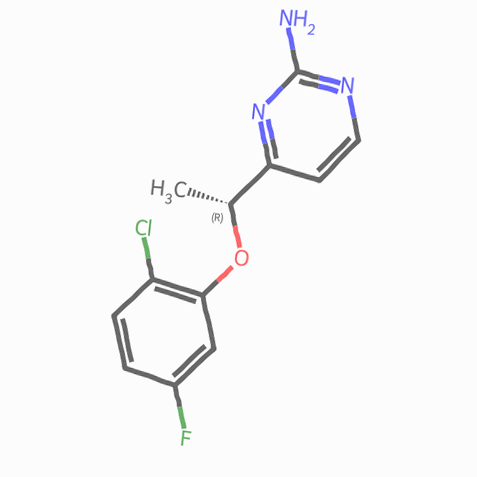 C[C@@H](Oc1cc(F)ccc1Cl)c1ccnc(N)n1